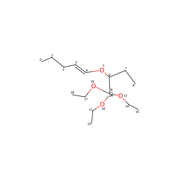 CCCC=COC(CC)[Si](OCC)(OCC)OCC